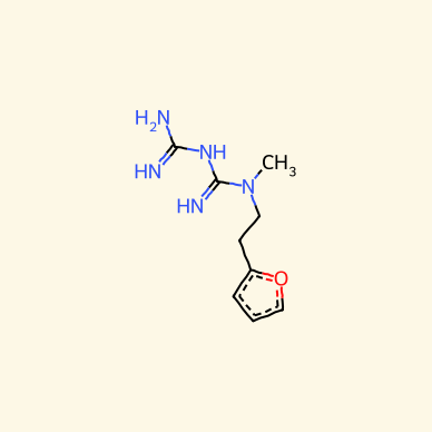 CN(CCc1ccco1)C(=N)NC(=N)N